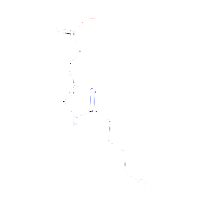 CCCCCc1nc(CCC(=O)O)c[nH]1